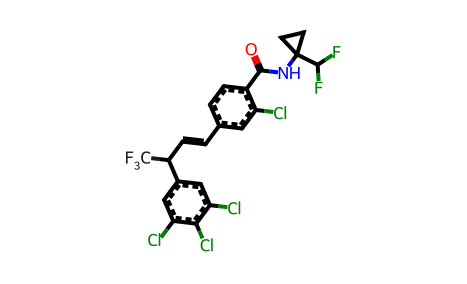 O=C(NC1(C(F)F)CC1)c1ccc(/C=C/C(c2cc(Cl)c(Cl)c(Cl)c2)C(F)(F)F)cc1Cl